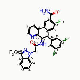 NC(=O)c1cc(-c2cccnc2C(Cc2cc(F)cc(F)c2)NC(=O)Cn2nc(C(F)(F)F)c3ccccc32)ccc1F